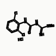 CNC(=N)NC(=O)Nc1c(Cl)cccc1Cl.Cl